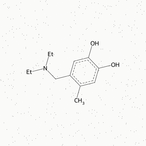 CCN(CC)Cc1cc(O)c(O)cc1C